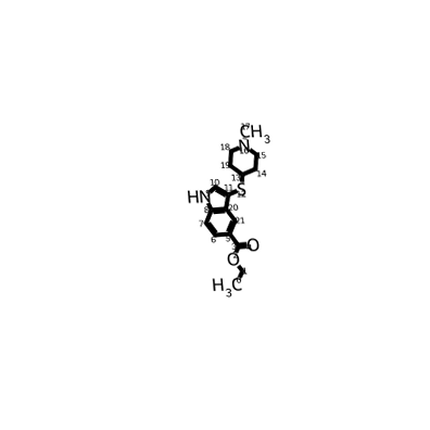 CCOC(=O)c1ccc2[nH]cc(SC3CCN(C)CC3)c2c1